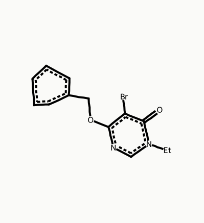 CCn1cnc(OCc2ccccc2)c(Br)c1=O